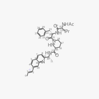 C/C=C/c1ccc2ccc([C@@H](C)NC(=O)[C@@H]3CCCN(C(=O)[C@H](Cc4ccccc4)NC(=O)[C@@H](NC(C)=O)C(C)C)N3)nc2c1